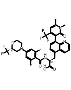 Cc1cc(C(F)(F)F)c(-c2ccc(C[C@H](NC(=O)c3c(F)cc(N4CCO[C@@H](C(F)(F)F)C4)cc3F)C(=O)O)c3cccnc23)c(=O)n1C